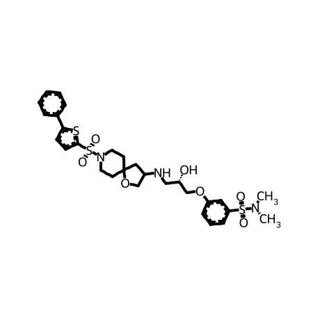 CN(C)S(=O)(=O)c1cccc(OC[C@@H](O)CNC2COC3(CCN(S(=O)(=O)c4ccc(-c5ccccc5)s4)CC3)C2)c1